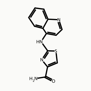 NC(=O)c1csc(Nc2ccnc3ccccc23)n1